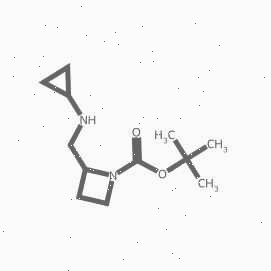 CC(C)(C)OC(=O)N1CCC1CNC1CC1